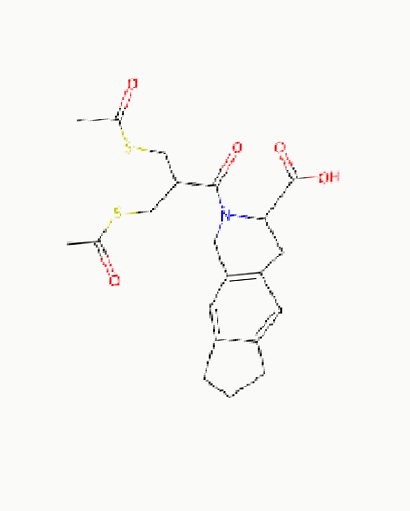 CC(=O)SCC(CSC(C)=O)C(=O)N1Cc2cc3c(cc2CC1C(=O)O)CCC3